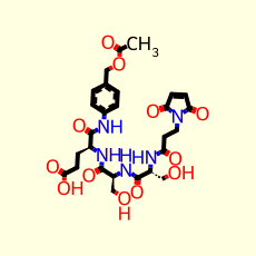 CC(=O)OCc1ccc(NC(=O)[C@H](CCC(=O)O)NC(=O)[C@H](CO)NC(=O)[C@@H](CO)NC(=O)CCN2C(=O)C=CC2=O)cc1